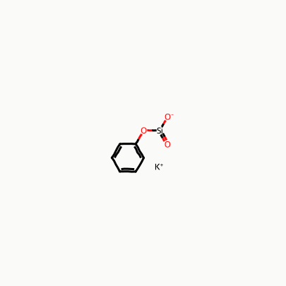 O=[Si]([O-])Oc1ccccc1.[K+]